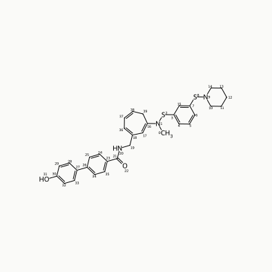 CN(Sc1cccc(SN2CCCCC2)c1)C1=CC(CNC(=O)c2ccc(-c3ccc(O)cc3)cc2)=CC=CC1